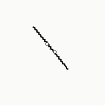 CCCCCCCCCCCCCCOCC[CH]CCCOCCCCCCCCCCCCCC